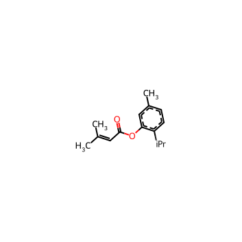 CC(C)=CC(=O)Oc1cc(C)ccc1C(C)C